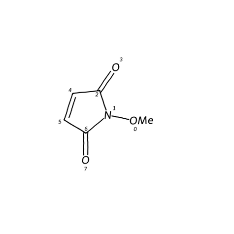 CON1C(=O)C=CC1=O